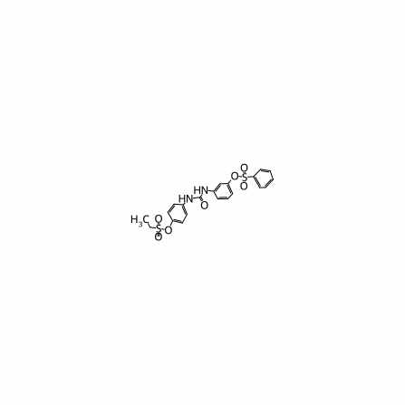 CCS(=O)(=O)Oc1ccc(NC(=O)Nc2cccc(OS(=O)(=O)c3ccccc3)c2)cc1